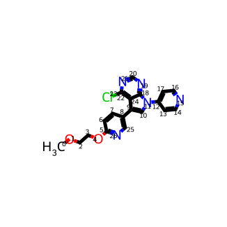 COCCOc1ccc(-c2cn(-c3ccncc3)c3ncnc(Cl)c23)cn1